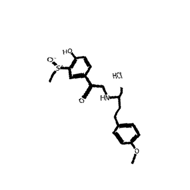 COc1ccc(CCC(C)NCC(=O)c2ccc(O)c([S+](C)[O-])c2)cc1.Cl